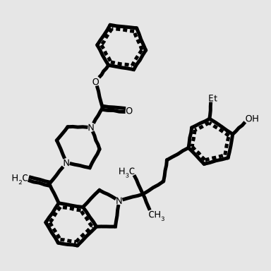 C=C(c1cccc2c1CN(C(C)(C)CCc1ccc(O)c(CC)c1)C2)N1CCN(C(=O)Oc2ccccc2)CC1